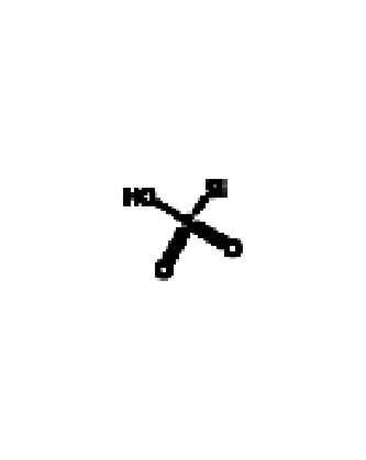 O=S(=O)(O)[Si]